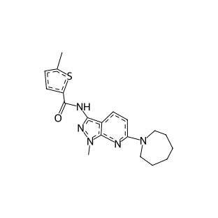 Cc1ccc(C(=O)Nc2nn(C)c3nc(N4CCCCCC4)ccc23)s1